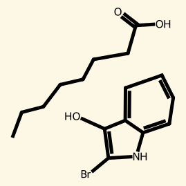 CCCCCCCC(=O)O.Oc1c(Br)[nH]c2ccccc12